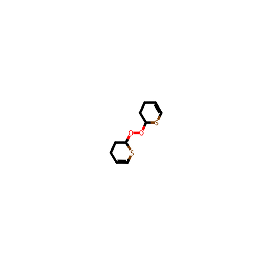 C1=CSC(OOC2CCC=CS2)CC1